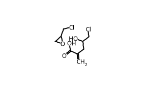 C=C(CC(O)CCl)C(=O)O.ClCC1CO1